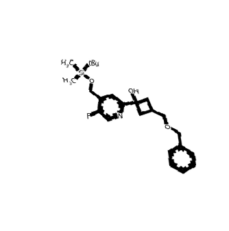 CC(C)(C)[Si](C)(C)OCc1cc(C2(O)CC(COCc3ccccc3)C2)ncc1F